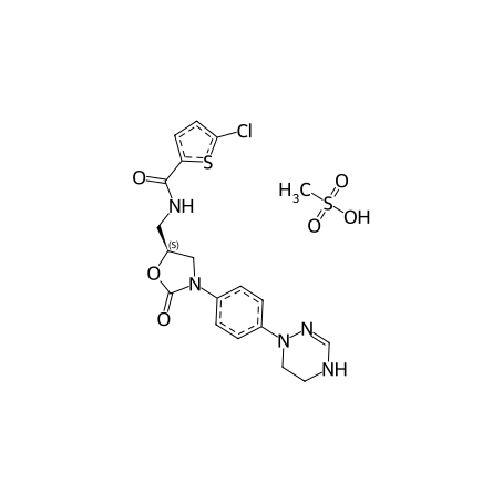 CS(=O)(=O)O.O=C(NC[C@H]1CN(c2ccc(N3CCNC=N3)cc2)C(=O)O1)c1ccc(Cl)s1